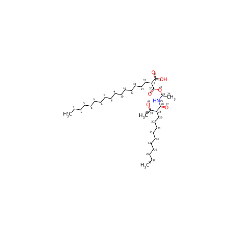 CCCCCCCCCCCCCCCCC(C(=O)O)C(=O)OC(C)NC(=O)C(CCCCCCCCCC)C(C)=O